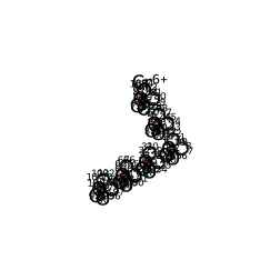 O=S(=O)([O-])c1cccccc2ccccccc1-2.O=S(=O)([O-])c1cccccc2ccccccc1-2.O=S(=O)([O-])c1cccccc2ccccccc1-2.O=S(=O)([O-])c1cccccc2ccccccc1-2.O=S(=O)([O-])c1cccccc2ccccccc1-2.O=S(=O)([O-])c1cccccc2ccccccc1-2.[Cr+6]